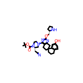 CC(C)(C)OC(=O)N1CCN(c2nc(OC[C@@H]3CCCN3)nc3c2CCC2(CCCc4ccc(O)cc42)C3)C[C@@H]1CC#N